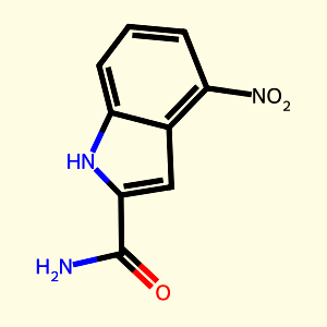 NC(=O)c1cc2c([N+](=O)[O-])cccc2[nH]1